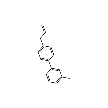 C=CCc1ccc(-c2[c]ccc(C)c2)cc1